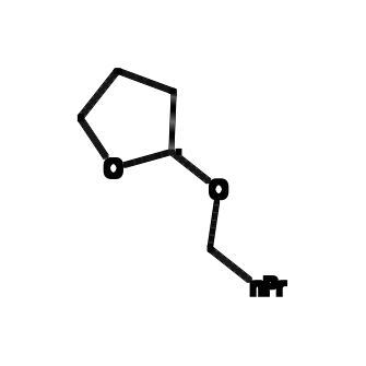 CCCCO[C]1CCCO1